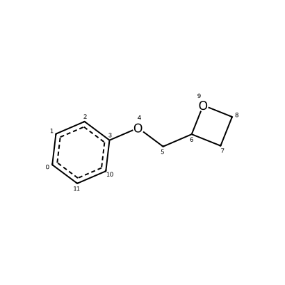 c1ccc(OCC2CCO2)cc1